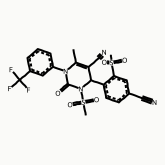 CC1=C(C#N)C(c2ccc(C#N)cc2S(C)(=O)=O)N(S(C)(=O)=O)C(=O)N1c1cccc(C(F)(F)F)c1